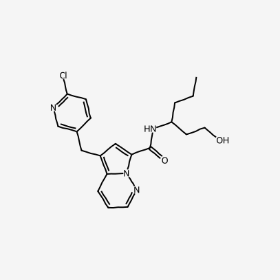 CCCC(CCO)NC(=O)c1cc(Cc2ccc(Cl)nc2)c2cccnn12